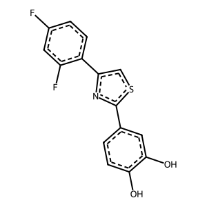 Oc1ccc(-c2nc(-c3ccc(F)cc3F)cs2)cc1O